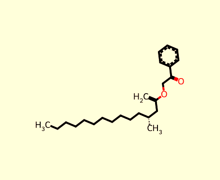 C=C(C[C@H](C)CCCCCCCCCCC)OCC(=O)c1ccccc1